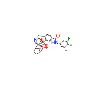 O=C(Nc1cc(F)c(F)c(F)c1)c1ccc(Cl)c(S(=O)(=O)[C@H]2CC3CCC(C2)[C@]3(O)c2cccnc2)c1